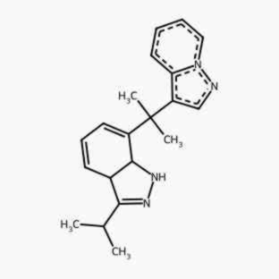 CC(C)C1=NNC2C(C(C)(C)c3cnn4ccccc34)=CC=CC12